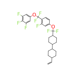 C=CC1CCC(C2CCC(C(F)(F)Oc3ccc(C(F)(F)Oc4cc(F)c(F)c(F)c4)c(F)c3)CC2)CC1